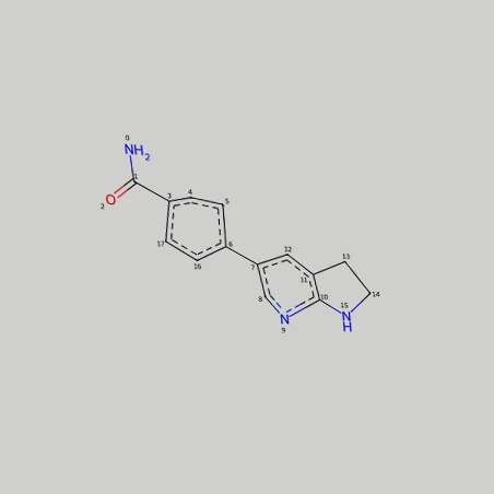 NC(=O)c1ccc(-c2cnc3c(c2)CCN3)cc1